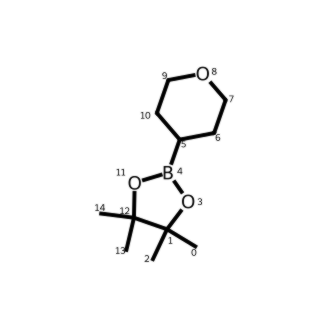 CC1(C)OB(C2CCOCC2)OC1(C)C